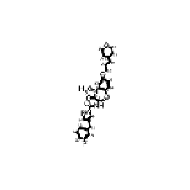 CN1C(=O)[C@@H](NC(=O)n2cc(Cc3cccc(F)c3)cn2)COc2ccc(OCCCC3CCOCC3)cc21